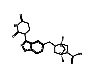 O=C1CCN(c2noc3ccc(CN4C[C@H]5C[C@@H]4CN5C(=O)O)cc23)C(=O)N1